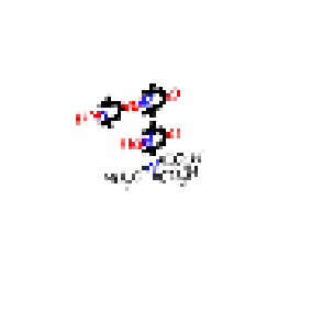 CC1(C)CC(=O)CC(C)(C)N1O.CC1(C)CC(=O)CC(C)(C)N1O.CC1(C)CC(=O)CC(C)(C)N1O.O=C(O)CN(CC(=O)O)CC(=O)O